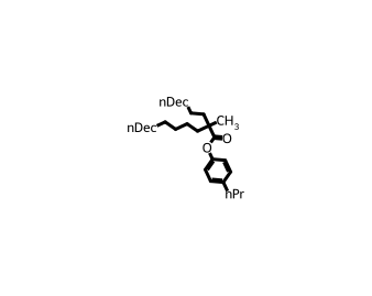 CCCCCCCCCCCCCCC(C)(CCCCCCCCCCCC)C(=O)Oc1ccc(CCC)cc1